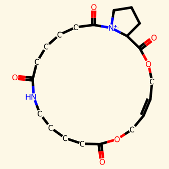 O=C1CCCCC(=O)[N+]2CCCC2C(=O)OCC=CCOC(=O)CCCCN1